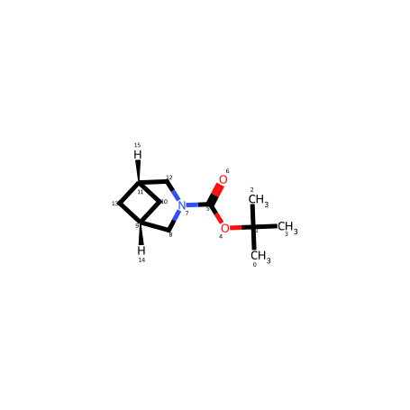 CC(C)(C)OC(=O)N1C[C@H]2C[C@@H](C1)C2